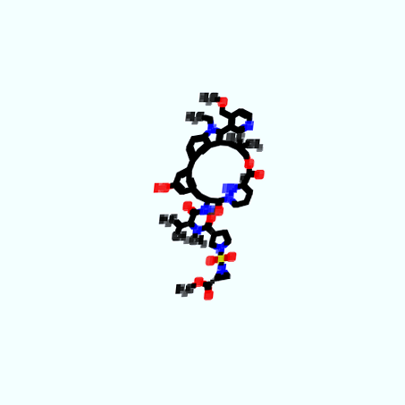 CCn1c(-c2cnccc2COC)c2c3cc(ccc31)-c1cc(O)cc(c1)C[C@H](NC(=O)[C@H](C(C)C)N(C)C(=O)[C@H]1CCN(S(=O)(=O)N3C[C@@H]3C(=O)OC)C1)C(=O)N1CCC[C@H](N1)C(=O)OCC(C)(C)C2